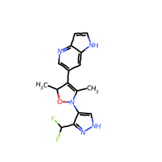 CC1=C(c2cnc3cc[nH]c3c2)C(C)ON1c1c[nH]nc1C(F)F